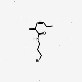 C=C(/C=C\CC)C(=O)NCCCBr